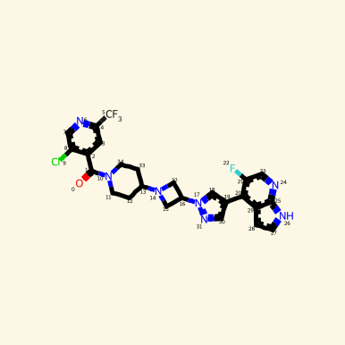 O=C(c1cc(C(F)(F)F)ncc1Cl)N1CCC(N2C[C](n3cc(-c4c(F)cnc5[nH]ccc45)cn3)C2)CC1